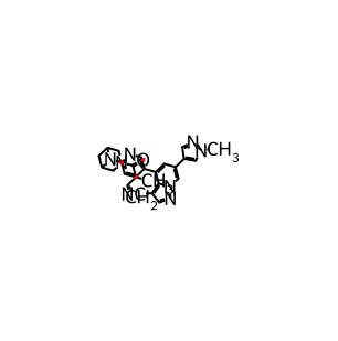 C=CC(C)C(=O)N1CC2CC(C1)N2c1ccc(-c2cc(-c3cnn(C)c3)cn3ncc(C#N)c23)cn1